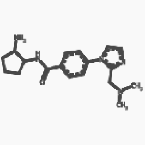 CN(C)Cc1nccn1-c1ccc(C(=O)NC2CCCC2N)cc1